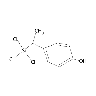 CC(c1ccc(O)cc1)[Si](Cl)(Cl)Cl